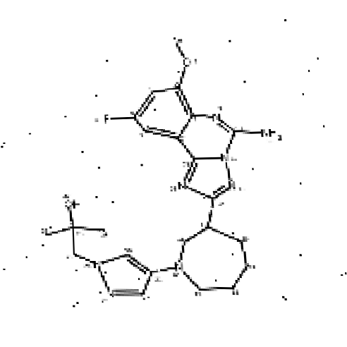 COc1cc(F)cc2c1nc(N)n1nc(C3CCCCN(c4cnn(CC(C)(C)O)c4)C3)nc21